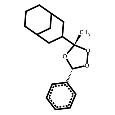 C[C@@]1(C2CC3CCCC(C3)C2)OO[C@H](c2ccccc2)O1